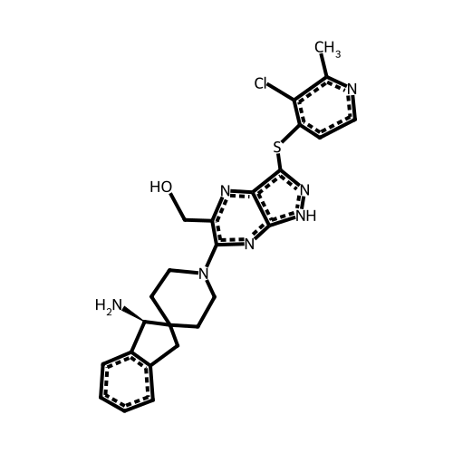 Cc1nccc(Sc2n[nH]c3nc(N4CCC5(CC4)Cc4ccccc4[C@H]5N)c(CO)nc23)c1Cl